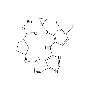 CC(C)(C)OC(=O)N1CC[C@H](Oc2ccc3ncnc(Nc4ccc(F)c(Cl)c4OC4CC4)c3n2)C1